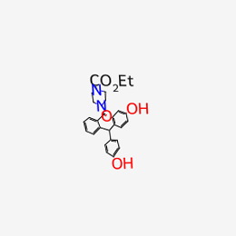 CCOC(=O)N1CCN(C(=O)c2ccccc2C(c2ccc(O)cc2)c2ccc(O)cc2)CC1